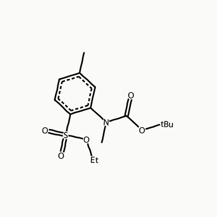 CCOS(=O)(=O)c1ccc(C)cc1N(C)C(=O)OC(C)(C)C